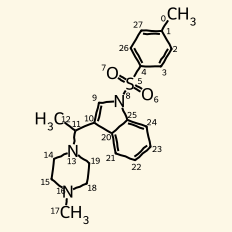 Cc1ccc(S(=O)(=O)n2cc(C(C)N3CCN(C)CC3)c3ccccc32)cc1